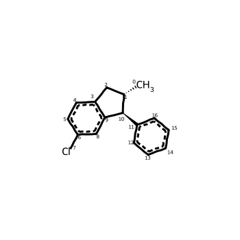 C[C@H]1Cc2ccc(Cl)cc2[C@@H]1c1ccccc1